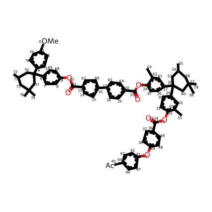 COc1ccc(C2(c3ccc(OC(=O)c4ccc(-c5ccc(C(=O)Oc6ccc(C7(c8ccc(OC(=O)c9ccc(Oc%10ccc(C(C)=O)cc%10)cc9)c(C)c8)CC(C)CC(C)(C)C7)cc6C)cc5)cc4)cc3)CC(C)CC(C)(C)C2)cc1